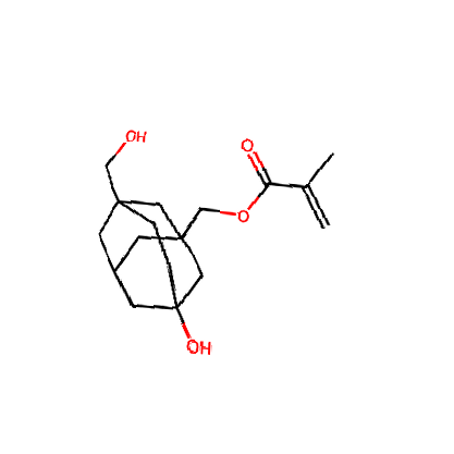 C=C(C)C(=O)OCC12CC3CC(O)(CC(CO)(C3)C1)C2